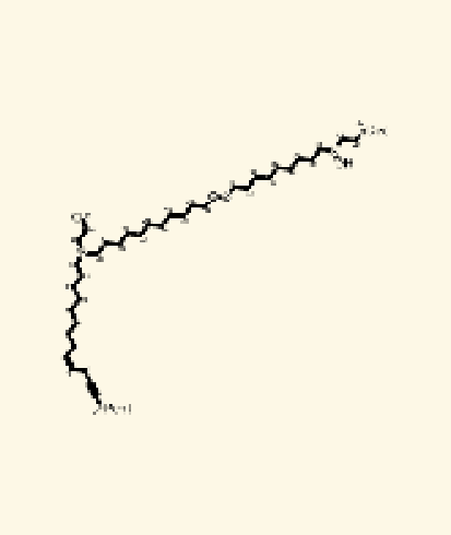 CCCCCC#CC/C=C\CCCCCCCCN(CCCl)CCCCCCCCCCCOOCCCCCCCCCN(O)CCCCCCCCCCCC